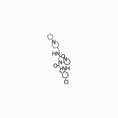 O=C(CN(C(=O)c1cc2cc(Cl)ccc2[nH]1)c1ccccn1)NCC1CCN(C2CCCC2)CC1